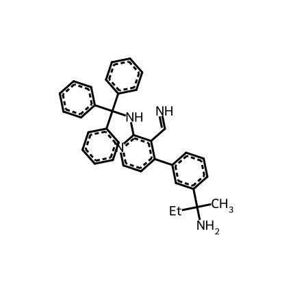 CCC(C)(N)c1cccc(-c2ccnc(NC(c3ccccc3)(c3ccccc3)c3ccccc3)c2C=N)c1